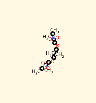 Cc1ccc(N2C(=O)c3ccc(Oc4ccc(C(C)(C)c5ccc(Oc6ccc7c(c6)C(=O)N(c6ccc(C)cc6C)C7=O)cc5)cc4)cc3C2=O)c(C)c1